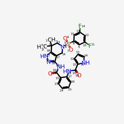 CC1(C)CN(S(=O)(=O)c2cc(F)cc(F)c2)Cc2c(NC(=O)c3ccccc3NC(=O)c3ccc[nH]3)n[nH]c21